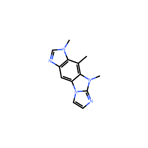 Cc1c2c(cc3c1n(C)c1nccn31)ncn2C